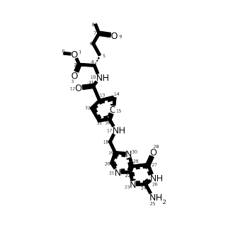 COC(=O)[C@H](CCC(C)=O)NC(=O)c1ccc(NCc2cnc3nc(N)[nH]c(=O)c3n2)cc1